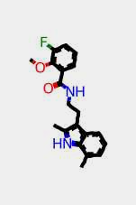 COc1c(F)cccc1C(=O)NCCc1c(C)[nH]c2c(C)cccc12